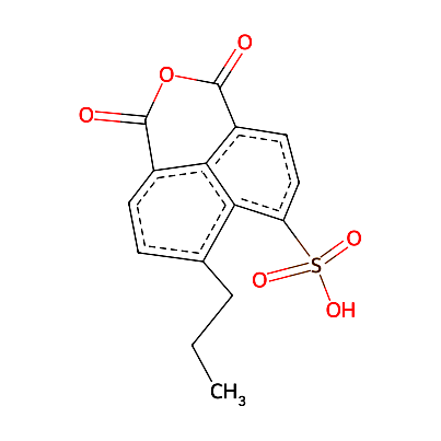 CCCc1ccc2c3c(ccc(S(=O)(=O)O)c13)C(=O)OC2=O